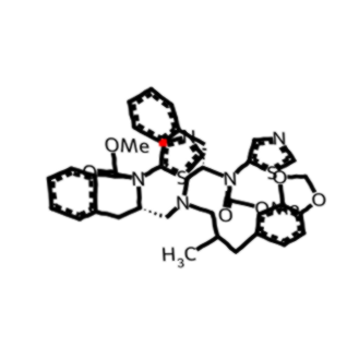 COC(=O)N(c1cncs1)[C@@H](Cc1ccccc1)CN(CC(C)Cc1ccc2c(c1)OCO2)C[C@H](Cc1ccccc1)N(C(=O)OC)c1cncs1